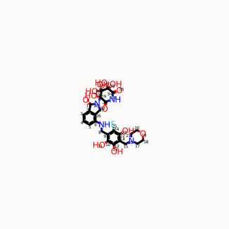 O=C1c2cccc(NCc3c(O)c(O)c(CN4CCOCC4)c(O)c3F)c2CN1C1(O)C(=O)NC(=O)C(O)(O)C1(O)O